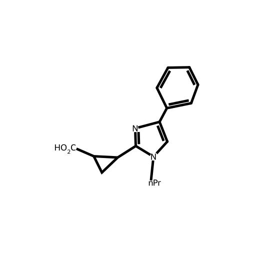 CCCn1cc(-c2ccccc2)nc1C1CC1C(=O)O